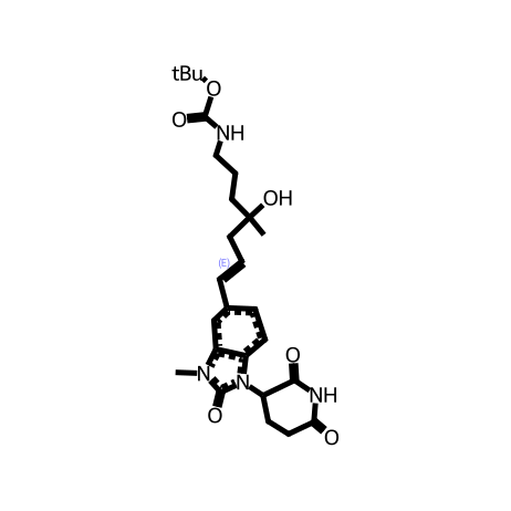 Cn1c(=O)n(C2CCC(=O)NC2=O)c2ccc(/C=C/CC(C)(O)CCCNC(=O)OC(C)(C)C)cc21